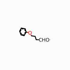 O=[C]CCCOc1ccccc1